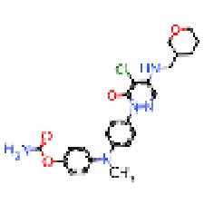 CN(c1ccc(OC(N)=O)cc1)c1ccc(-n2ncc(NCC3CCCOC3)c(Cl)c2=O)cc1